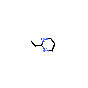 CCC1NCCCN1